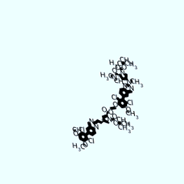 COc1cc(OC)c(Cl)c(-c2ccc3nc(CC[C@H]4C[C@@H](C(=O)OCCOc5cc(OC)c(Cl)c(-c6ccc7nc(N(C)[C@H]8C[C@@H](C(=O)N(C)C)N(C(=O)OC(C)(C)C)C8)ncc7c6)c5Cl)N(C(=O)OC(C)(C)C)C4)ncc3c2)c1Cl